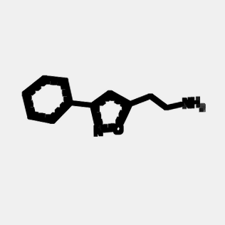 NCCc1cc(-c2ccccc2)no1